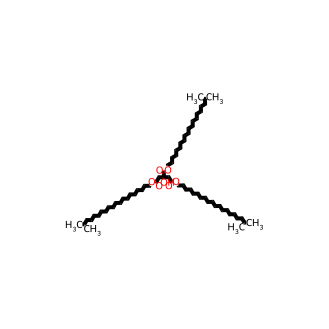 CC(C)CCCCCCCCCCCCCCCCCCOC(=O)CC(O)(CC(=O)OCCCCCCCCCCCCCCCCCCC(C)C)C(=O)OCCCCCCCCCCCCCCCCCCC(C)C